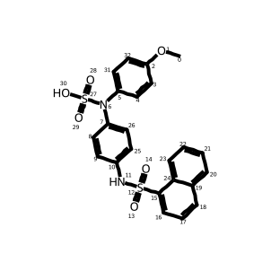 COc1ccc(N(c2ccc(NS(=O)(=O)c3cccc4ccccc34)cc2)S(=O)(=O)O)cc1